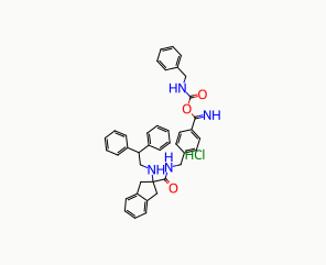 Cl.N=C(OC(=O)NCc1ccccc1)c1ccc(CNC(=O)C2(NCC(c3ccccc3)c3ccccc3)Cc3ccccc3C2)cc1